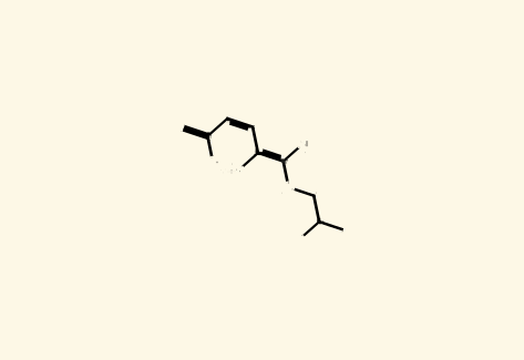 C=C(O)/C=C\C(NC)=C(/N)OCC(C)F